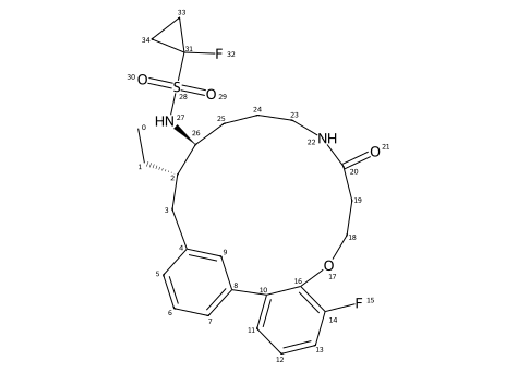 CC[C@H]1Cc2cccc(c2)-c2cccc(F)c2OCCC(=O)NCCC[C@@H]1NS(=O)(=O)C1(F)CC1